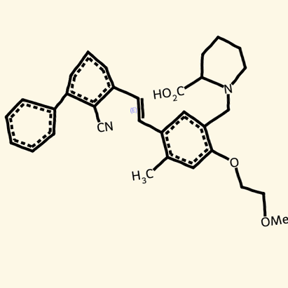 COCCOc1cc(C)c(/C=C/c2cccc(-c3ccccc3)c2C#N)cc1CN1CCCCC1C(=O)O